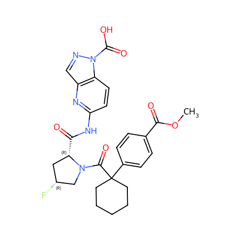 COC(=O)c1ccc(C2(C(=O)N3C[C@H](F)C[C@@H]3C(=O)Nc3ccc4c(cnn4C(=O)O)n3)CCCCC2)cc1